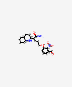 NC(=O)C(CCCOc1cccc(C=O)c1[N+](=O)[O-])C1CCC2CCCCC2N1